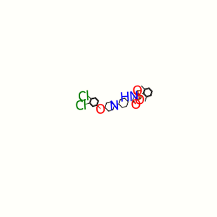 Cc1cccc(C)c1S(=O)(=O)NC(=O)[C@H]1CC[C@H](N2CCC(Oc3ccc(Cl)c(Cl)c3)CC2)CC1